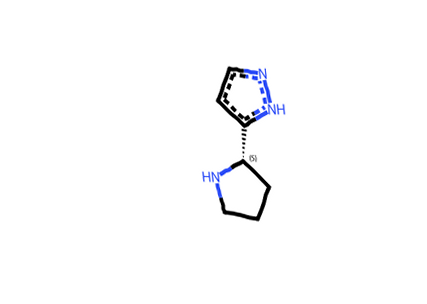 c1cc([C@@H]2CCCN2)[nH]n1